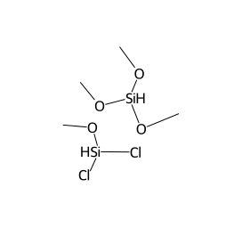 CO[SiH](Cl)Cl.CO[SiH](OC)OC